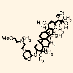 CCO[C@@H](C1C[C@@H](C)[C@H]2C(O1)[C@H](O)[C@@]1(C)C3CC[C@H]4C(C)(C)[C@@H](O[C@H]5CN(CCN(C)CCOC)CCO5)CC[C@@]45C[C@@]35CC[C@]21C)C(C)(C)O